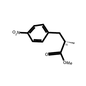 COC(=O)[C@@H](C)Cc1ccc([N+](=O)[O-])cc1